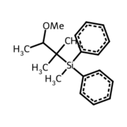 COC(C)C(C)(C)[Si](C)(c1ccccc1)c1ccccc1